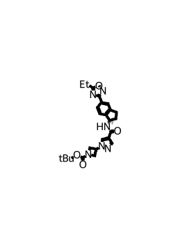 CCc1nc(-c2ccc3c(c2)CC[C@H]3NC(=O)c2cnn(C3CN(C(=O)OC(C)(C)C)C3)c2)no1